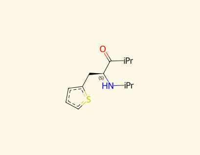 CC(C)N[C@@H](Cc1cccs1)C(=O)C(C)C